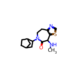 CNC1C(=O)N(C2CC3CCC2C3)CCc2ncsc21